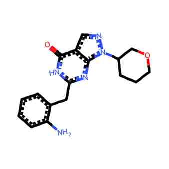 Nc1ccccc1Cc1nc2c(cnn2C2CCCOC2)c(=O)[nH]1